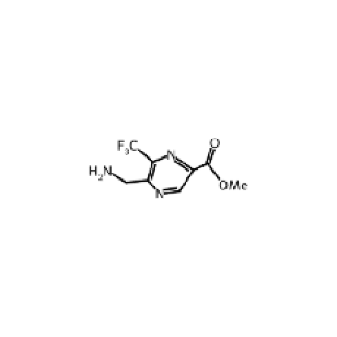 COC(=O)c1cnc(CN)c(C(F)(F)F)n1